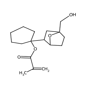 C=C(C)C(=O)OC1(C2CC3(CO)CCC2O3)CCCCC1